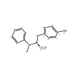 CN(c1ccccc1)[C@@H](Cc1ccc(O)cc1)C(=O)O